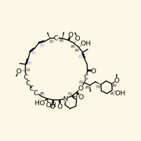 CO[C@H]1CCCC[C@@H](C)C(O)(O)C(=O)C(=O)N2CCCC[C@H]2C(=O)O[C@H]([C@H](C)C[C@@H]2CC[C@@H](O)[C@H](OC)C2)CC(=O)C/C=C(\C)[C@@H](O)[C@@H](OC)C(=O)[C@H](C)C[C@H](C)/C=C/C=C/C=C/1C